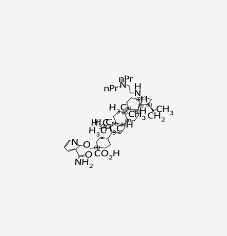 C=C(C)[C@@H]1CC[C@]2(NCCN(CCC)CCC)CC[C@]3(C)[C@H](CC[C@@H]4[C@@]5(C)CC=C(C6=CC[C@](COc7ncccc7C(N)=O)(C(=O)O)CC6)C(C)(C)[C@]5(C)CC[C@]43C)[C@@H]12